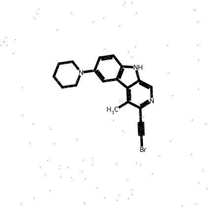 Cc1c(C#CBr)ncc2[nH]c3ccc(N4CCCCC4)cc3c12